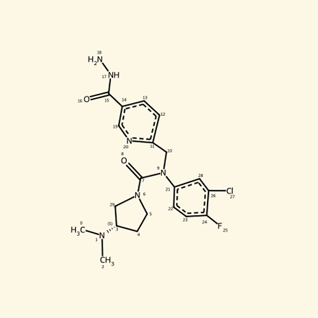 CN(C)[C@H]1CCN(C(=O)N(Cc2ccc(C(=O)NN)cn2)c2ccc(F)c(Cl)c2)C1